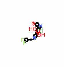 COc1ccc2ncc(Cl)c([C@@H](O)CCC3(C(=O)O)CCN(CC#Cc4ccc(F)c(F)c4)CC3)c2c1